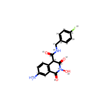 Nc1ccc2c(c1)C(=O)N(O)C(=O)C2C(=O)NCc1ccc(F)cc1